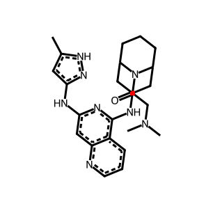 Cc1cc(Nc2cc3ncccc3c(NC3CC4CCCC(C3)N4C(=O)CN(C)C)n2)n[nH]1